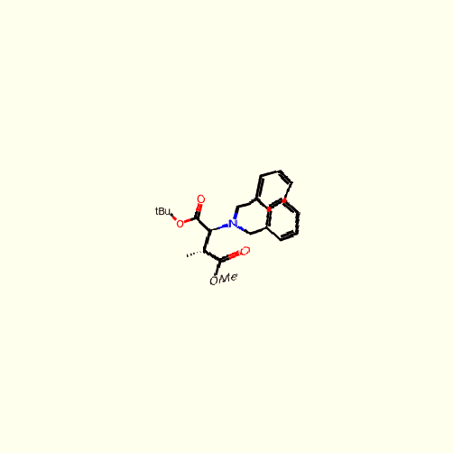 COC(=O)[C@H](C)[C@@H](C(=O)OC(C)(C)C)N(Cc1ccccc1)Cc1ccccc1